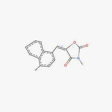 Cc1ccc(/C=C2/OC(=O)N(C)C2=O)c2ccccc12